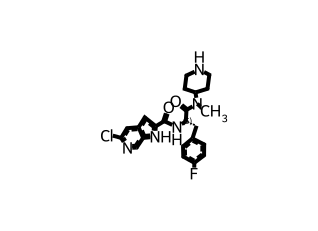 CN(C(=O)[C@H](Cc1ccc(F)cc1)NC(=O)c1cc2cc(Cl)ncc2[nH]1)C1CCNCC1